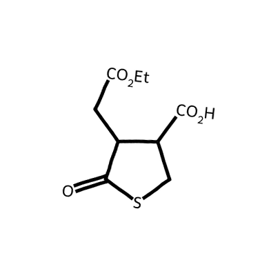 CCOC(=O)CC1C(=O)SCC1C(=O)O